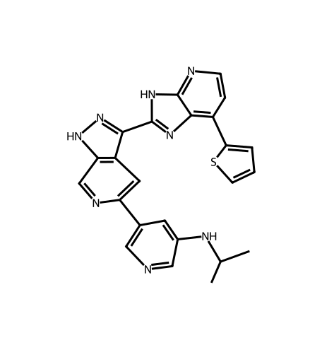 CC(C)Nc1cncc(-c2cc3c(-c4nc5c(-c6cccs6)ccnc5[nH]4)n[nH]c3cn2)c1